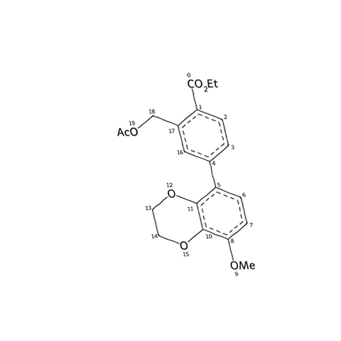 CCOC(=O)c1ccc(-c2ccc(OC)c3c2OCCO3)cc1COC(C)=O